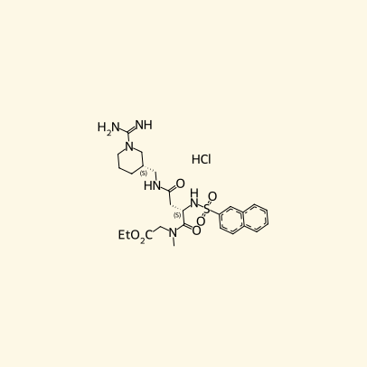 CCOC(=O)CN(C)C(=O)[C@H](CC(=O)NC[C@@H]1CCCN(C(=N)N)C1)NS(=O)(=O)c1ccc2ccccc2c1.Cl